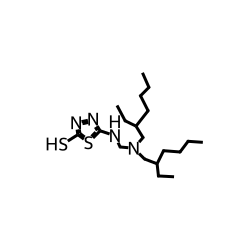 CCCCC(CC)CN(CNc1nnc(S)s1)CC(CC)CCCC